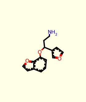 NCCC(Oc1cccc2ccoc12)c1ccoc1